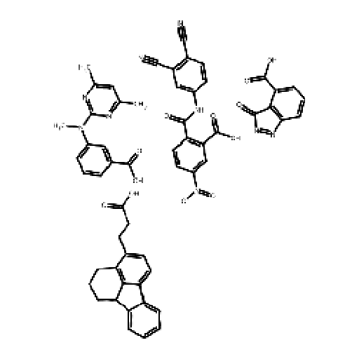 Cc1cc(C)nc(N(C)c2cccc(C(=O)O)c2)n1.N#Cc1ccc(NC(=O)c2ccc([N+](=O)[O-])cc2C(=O)O)cc1C#N.O=C(O)CCc1ccc2c3c1CCCC3c1ccccc1-2.O=C(O)c1cccc2c1C(=O)N=N2